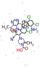 CC(C)c1ncnc(C(C)C)c1-n1c(=O)c(C#N)c(N2CCN(C(=O)O)[C@H](C)C2)c2cc(Cl)c(-c3c(N)c(Cl)cc(Cl)c3F)nc21